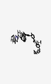 C=C(Nc1ccc(CN2CCC(N(C)C)C2)cc1)c1ccc(C)c(C#Cc2cnc3c(N/C(C=N)=C/NCC)cccn23)c1